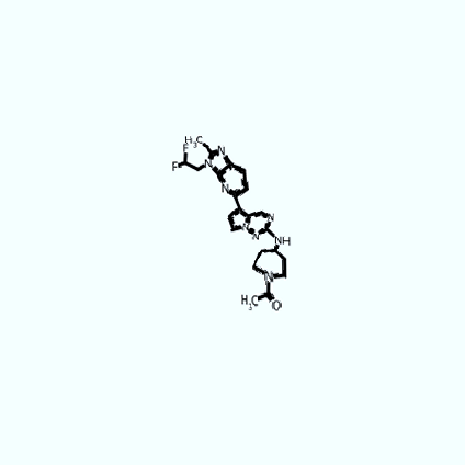 CC(=O)N1CCC(Nc2ncc3c(-c4ccc5nc(C)n(CC(F)F)c5n4)ccn3n2)CC1